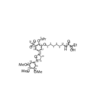 CCCOc1c(OCCCCCCNC(=O)N(O)CC)cc([C@@H]2CC[C@H](c3cc(OC)c(OC)c(OC)c3)O2)cc1S(C)(=O)=O